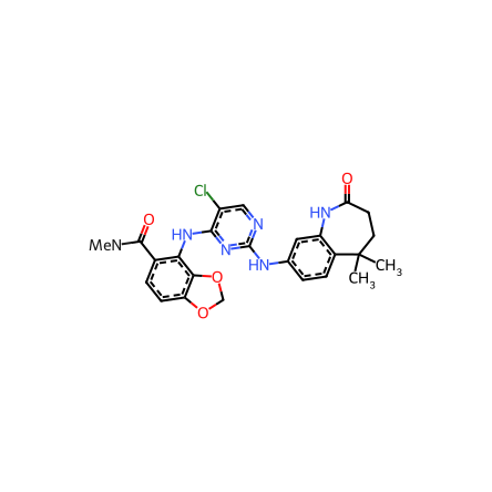 CNC(=O)c1ccc2c(c1Nc1nc(Nc3ccc4c(c3)NC(=O)CCC4(C)C)ncc1Cl)OCO2